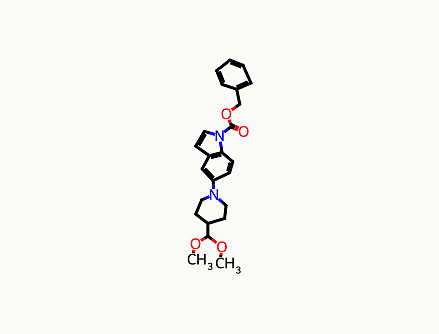 COC(OC)C1CCN(c2ccc3c(ccn3C(=O)OCc3ccccc3)c2)CC1